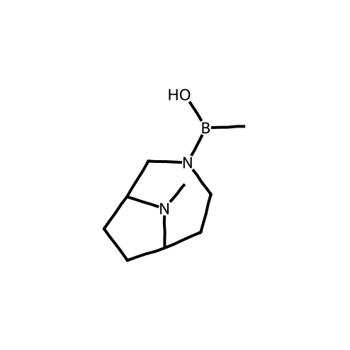 CB(O)N1CCC2CCC(C1)N2C